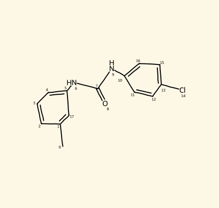 Cc1cccc(NC(=O)Nc2ccc(Cl)cc2)c1